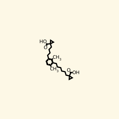 Cc1ccc(CCCCC2(C(=O)O)CC2)c(C)c1CCCCCCC1(C(=O)O)CC1